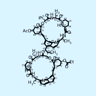 CCC(=O)O[C@H]1CC[C@@]2(/C=C/c3ccc4ccc(nc4c3)[C@@H](C)NC(=O)[C@@H]3CCCN(N3)C(=O)[C@H](C)NC(=O)[C@H](C(C)Cc3cc4cc5nc(ccc35)[C@@H](C)NC(=O)[C@@H]3CCCN(N3)C(=O)[C@H](C)NC(=O)[C@H](C(C)C)OC(=O)[C@]3(/C=C/4)CC[C@@H](OC(C)=O)CC3)OC2=O)CC1